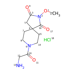 CON1C(=O)CC2(CCN(C(=O)CN)CC2)C1=O.Cl